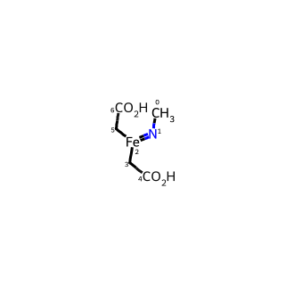 C[N]=[Fe]([CH2]C(=O)O)[CH2]C(=O)O